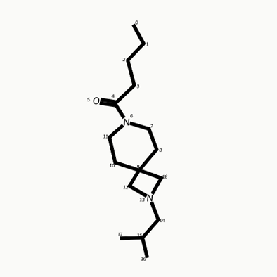 CCCCC(=O)N1CCC2(CC1)CN(CC(C)C)C2